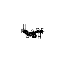 Cc1cccc2c1C1(CCN(C(=O)c3ccc4[nH]ncc4c3)CC1)C(=O)N2CCC(=O)NCC(F)(F)F